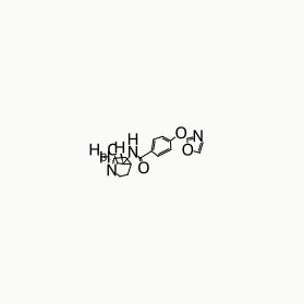 C[C@H]1[C@H](NC(=O)c2ccc(Oc3ncco3)cc2)C2CCN1CC2